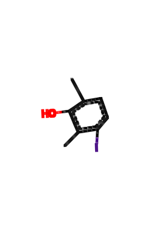 Cc1ccc(I)c(C)c1O